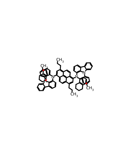 CCCc1cc(N(c2cccc3c2CCCC3)c2cccc3c4ccccc4n(-c4ccc(C)cc4)c23)c2ccc3c(CCC)cc(N(c4cccc5c4CCCC5)c4cccc5c6ccccc6n(-c6ccc(C)cc6)c45)c4ccc1c2c34